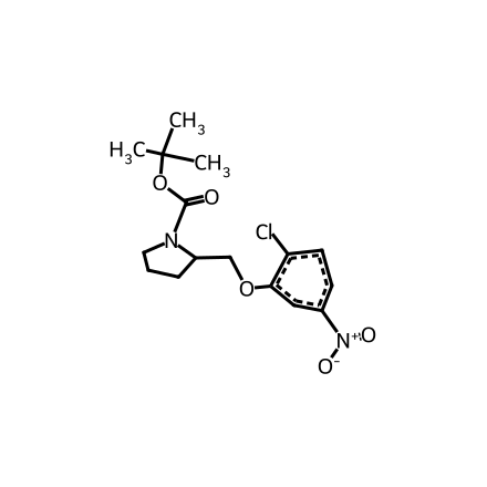 CC(C)(C)OC(=O)N1CCCC1COc1cc([N+](=O)[O-])ccc1Cl